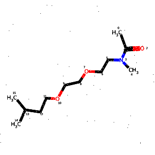 CC(=O)N(C)CCOCCOCCC(C)C